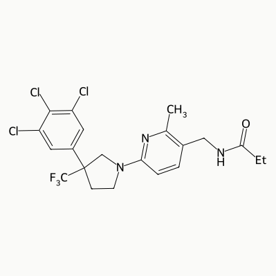 CCC(=O)NCc1ccc(N2CCC(c3cc(Cl)c(Cl)c(Cl)c3)(C(F)(F)F)C2)nc1C